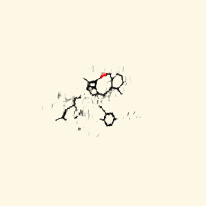 COc1ccc(OC)c(C(=O)O[C@H]2[C@@H]3[C@]4(OC(C)=O)CO[C@@H]4C[C@H]4O[C@@H]([C@H](O)C5=C(C)[C@@H](OC(=O)[C@H](O[Si](C(C)C)(C(C)C)C(C)C)[C@H](C=C(C)C)NC(=O)OC(C)(C)C)C[C@]2(O)C5(C)C)[C@@]34C)c1